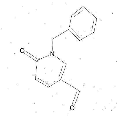 O=Cc1ccc(=O)n(Cc2ccccc2)c1